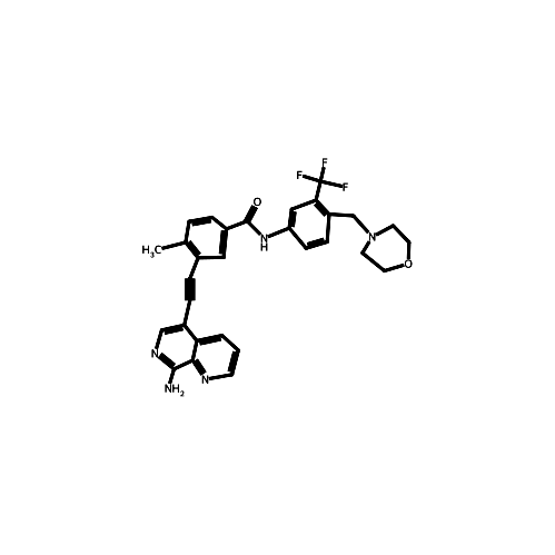 Cc1ccc(C(=O)Nc2ccc(CN3CCOCC3)c(C(F)(F)F)c2)cc1C#Cc1cnc(N)c2ncccc12